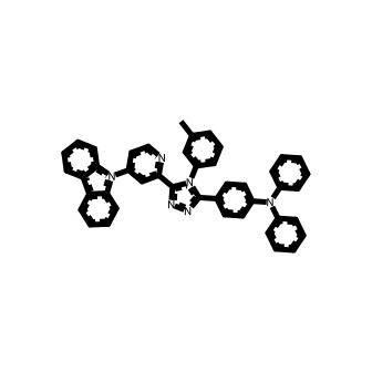 Cc1cccc(-n2c(-c3ccc(N(c4ccccc4)c4ccccc4)cc3)nnc2-c2cc(-n3c4ccccc4c4ccccc43)ccn2)c1